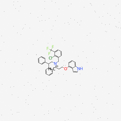 C[C@H](CCOc1cccc2[nH]ccc12)N(Cc1cccc(C(F)(F)F)c1Cl)CC(c1ccccc1)c1ccccc1